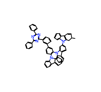 CC1C=Cc2c(n(-c3ccc4c5ccccc5n(-c5cc(-c6cccc(-c7nc(-c8ccccc8)nc(-c8ccccc8)n7)c6)ccc5-n5c6ccccc6c6ccccc65)c4c3)c3ccccc23)C1